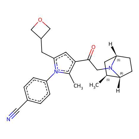 Cc1c(C(=O)CN2[C@H]3CC[C@@H]2[C@@H](C)C3)cc(CC2COC2)n1-c1ccc(C#N)cc1